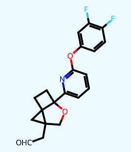 O=CCC12COC3(c4cccc(Oc5ccc(F)c(F)c5)n4)CCC13C2